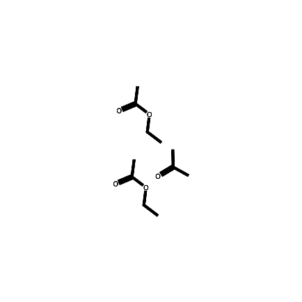 CC(C)=O.CCOC(C)=O.CCOC(C)=O